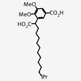 COc1cc(C(=O)O)cc(C(CCCCCCCCCCC(C)C)C(=O)O)c1OC